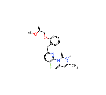 C=C(COc1ccccc1Cc1ccc(F)c(N2C(=C)C=C(C(F)(F)F)N(C)C2=C)n1)OCC